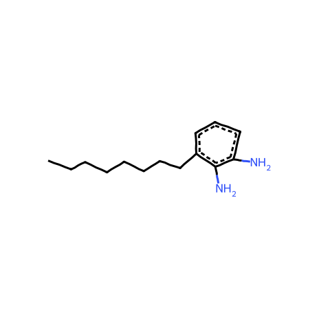 CCCCCCCCc1cccc(N)c1N